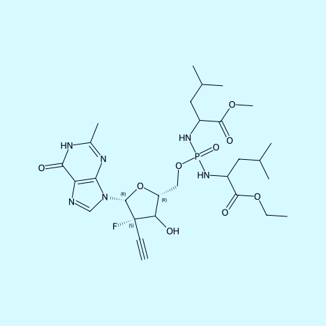 C#C[C@]1(F)C(O)[C@@H](COP(=O)(NC(CC(C)C)C(=O)OC)NC(CC(C)C)C(=O)OCC)O[C@H]1n1cnc2c(=O)[nH]c(C)nc21